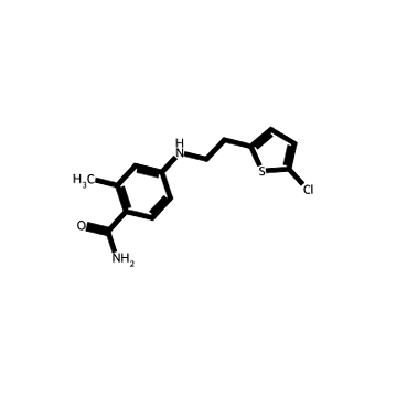 Cc1cc(NCCc2ccc(Cl)s2)ccc1C(N)=O